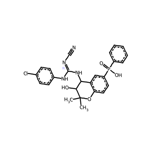 CC1(C)Oc2ccc(P(=O)(O)c3ccccc3)cc2C(N/C(=N\C#N)Nc2ccc(Cl)cc2)C1O